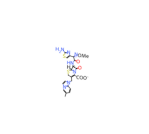 CO/N=C(\C(=O)N[C@@H]1C(=O)N2C(C(=O)[O-])=C(Cn3cc[n+]4cc(C)ccc34)CS[C@@H]12)c1csc(N)n1